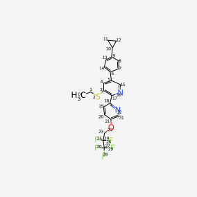 CCSc1cc(-c2ccc(C3CC3)cc2)cnc1-c1ccc(OCC(F)(F)C(F)(F)F)cn1